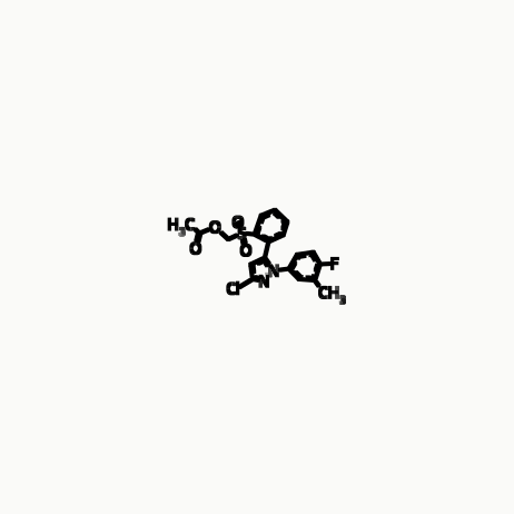 CC(=O)OCS(=O)(=O)c1ccccc1-c1cc(Cl)nn1-c1ccc(F)c(C)c1